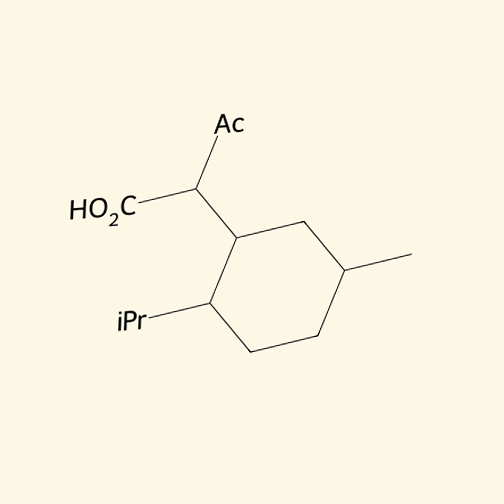 CC(=O)C(C(=O)O)C1CC(C)CCC1C(C)C